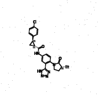 CC[C@@H]1CCN(c2ccc(NC(=O)[C@@H]3C[C@H]3c3ccc(Cl)cc3)cc2-c2nnn[nH]2)C1=O